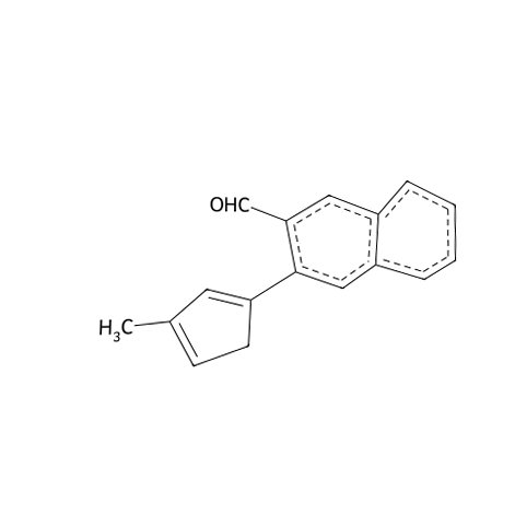 CC1=CCC(c2cc3ccccc3cc2C=O)=C1